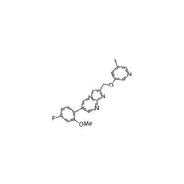 COc1cc(F)ccc1-c1cnc2nc(COc3cncc(C)c3)cn2c1